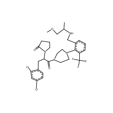 COCC(C)NCc1cccc(C(F)(F)F)c1N1CCN(C(=O)C(Cc2ccc(Cl)cc2Cl)N2CCCC2=O)CC1